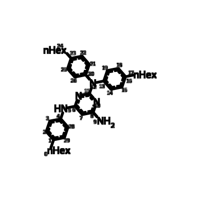 CCCCCCc1ccc(Nc2cc(N)nc(N(c3ccc(CCCCCC)cc3)c3ccc(CCCCCC)cc3)n2)cc1